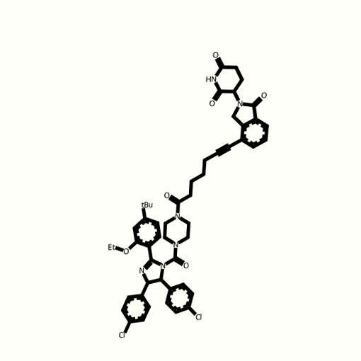 CCOc1cc(C(C)(C)C)ccc1C1=NC(c2ccc(Cl)cc2)C(c2ccc(Cl)cc2)N1C(=O)N1CCN(C(=O)CCCCC#Cc2cccc3c2CN(C2CCC(=O)NC2=O)C3=O)CC1